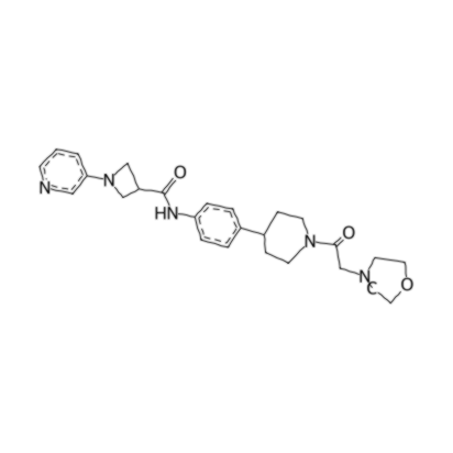 O=C(Nc1ccc(C2CCN(C(=O)CN3CCOCC3)CC2)cc1)C1CN(c2cccnc2)C1